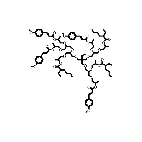 CCCCC(CC)C(=O)OC(C)COCC(COCC(CC)(COCC(COCC(C)OC(=O)/C=C/c1ccc(OC)cc1)OCC(C)OC(=O)C(CC)CCCC)COCC(COCC(C)OC(=O)C(CC)CCCC)OCC(COCC(C)OC(=O)/C=C/c1ccc(OC)cc1)OCC(C)OC(=O)/C=C/c1ccc(OC)cc1)OCC(C)OC(=O)/C=C/c1ccc(OC)cc1